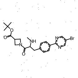 CNC(Cc1ccc(-c2ncc(Br)cn2)cc1)C(=O)N1CC(C(=O)OC(C)(C)C)C1